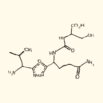 CC(O)C(N)c1nnc(C(CCC(N)=O)NC(=O)NC(CO)C(=O)O)o1